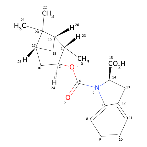 C[C@@H]1[C@@H](OC(=O)N2c3ccccc3C[C@@H]2C(=O)O)C[C@H]2C[C@@H]1C2(C)C